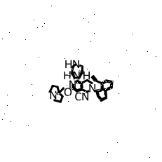 C#Cc1cccc2cccc(N3CCc4c(N5[C@@H]6CC[C@H]5CNC6)nc(OCC56CCCN5CCC6)c(C#N)c4C3)c12